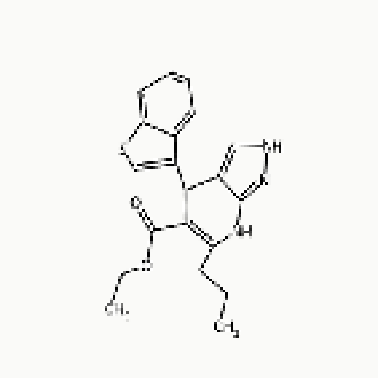 CCCC1=C(C(=O)OCC)C(c2csc3ccccc23)c2c[nH]nc2N1